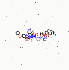 Cc1cc(Oc2ccccc2)ccc1N1C(=O)Nc2c(C(=O)N[C@@H]3CCCN(C(=O)C4CCCN4C(=O)OC(C)(C)C)C3)sc3nccc1c23